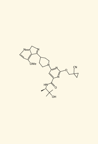 COc1ccnc2c1C(C1CCN(c3cc(C(=O)N[C@H](C)C(C)(C)O)nc(OCC4(C#N)CC4)n3)CC1)=NC2